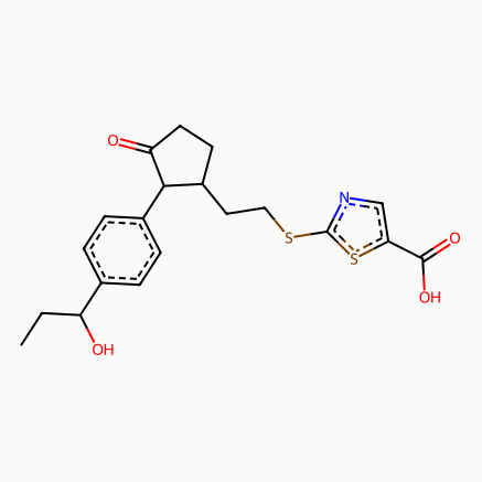 CCC(O)c1ccc(C2C(=O)CCC2CCSc2ncc(C(=O)O)s2)cc1